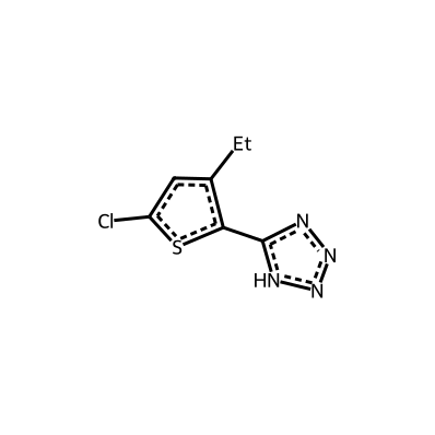 CCc1cc(Cl)sc1-c1nnn[nH]1